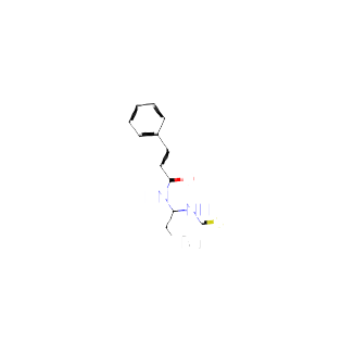 CC(C)(C)CC(NC=S)NC(=O)/C=C/c1ccccc1